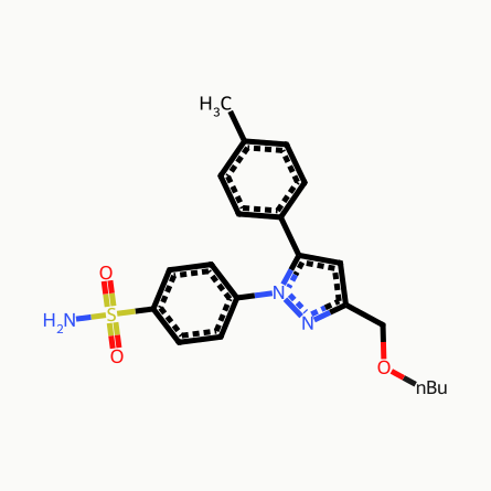 CCCCOCc1cc(-c2ccc(C)cc2)n(-c2ccc(S(N)(=O)=O)cc2)n1